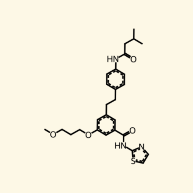 COCCCOc1cc(CCc2ccc(NC(=O)CC(C)C)cc2)cc(C(=O)Nc2nccs2)c1